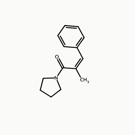 CC(=Cc1ccccc1)C(=O)N1CCCC1